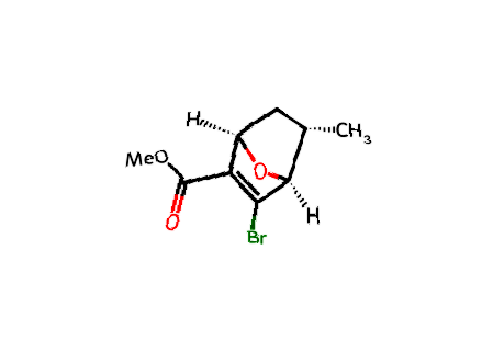 COC(=O)C1=C(Br)[C@H]2O[C@@H]1C[C@@H]2C